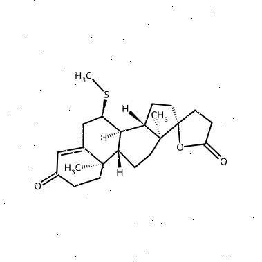 CS[C@@H]1CC2=CC(=O)CC[C@]2(C)[C@H]2CC[C@@]3(C)[C@@H](CC[C@@]34CCC(=O)O4)[C@H]12